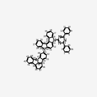 c1ccc(-c2nc(-c3ccccc3)nc(-n3c4ccccc4c4c5c6ccccc6n(-c6ccc7c8cccc9c%10ccccc%10n(c7c6)c98)c5ccc43)n2)cc1